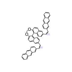 C(=C/c1ccc2c3c(ccc2c1)OCOc1ccc2cc(/C=C\c4ccc5cc6ccccc6cc5c4)ccc2c1-3)/c1ccc2cc3ccccc3cc2c1